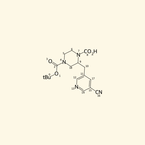 CC(C)(C)OC(=O)N1CCN(C(=O)O)C(Cc2cncc(C#N)c2)C1